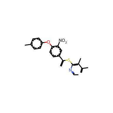 C=C(C)/C(C)=C(\N=C/C)SC(=C)c1ccc(Oc2ccc(C)cc2)c([N+](=O)[O-])c1